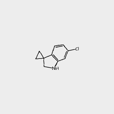 Clc1ccc2c(c1)NCC21CC1